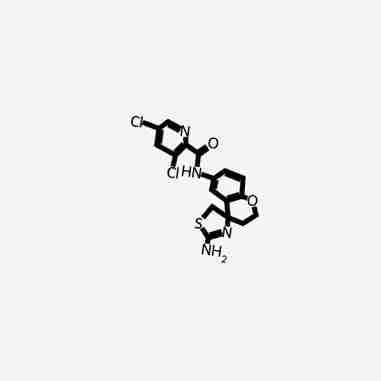 NC1=NC2(CCOc3ccc(NC(=O)c4ncc(Cl)cc4Cl)cc32)CS1